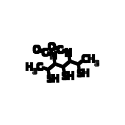 CC(S)C(N=C=O)C(S)C(N=C=O)C(C)S